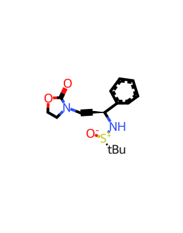 CC(C)(C)[S@+]([O-])N[C@@H](C#CN1CCOC1=O)c1ccccc1